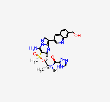 CC(C)N(C(=O)c1nnc[nH]1)[C@H](C)CCc1nc2c(-c3cnc4cc(CO)ccc4c3)cnn2c(N)c1S(C)(=O)=O